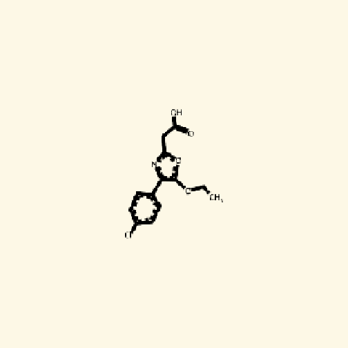 CCOc1oc(CC(=O)O)nc1-c1ccc(Cl)cc1